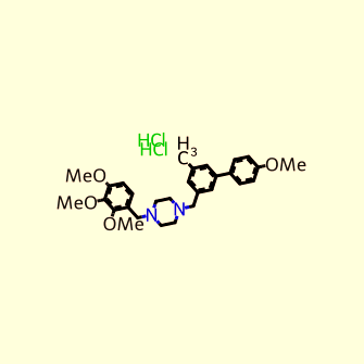 COc1ccc(-c2cc(C)cc(CN3CCN(Cc4ccc(OC)c(OC)c4OC)CC3)c2)cc1.Cl.Cl